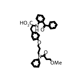 COCCC(=O)N(CCCOc1ccc(C[C@H](Nc2ccccc2C(=O)c2ccccc2)C(=O)O)cc1)c1ccccc1